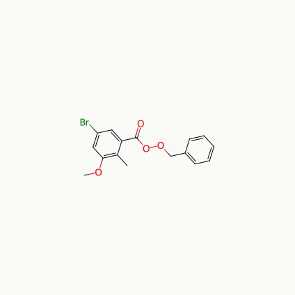 COc1cc(Br)cc(C(=O)OOCc2ccccc2)c1C